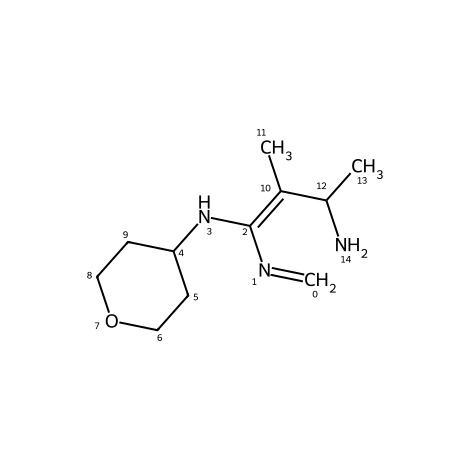 C=N/C(NC1CCOCC1)=C(/C)C(C)N